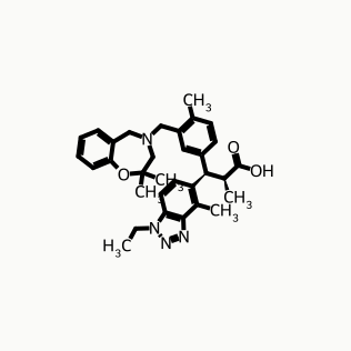 CCn1nnc2c(C)c([C@@H](c3ccc(C)c(CN4Cc5ccccc5OC(C)(C)C4)c3)[C@H](C)C(=O)O)ccc21